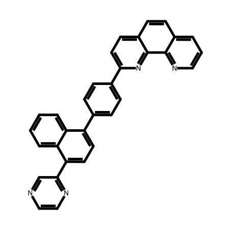 c1cnc2c(c1)ccc1ccc(-c3ccc(-c4ccc(-c5cnccn5)c5ccccc45)cc3)nc12